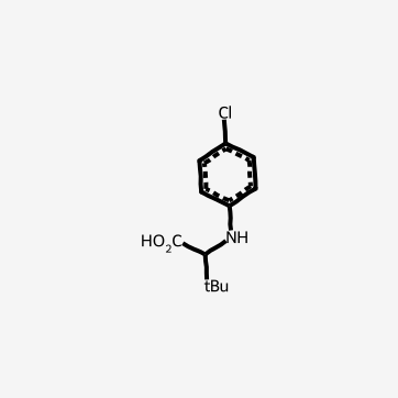 CC(C)(C)C(Nc1ccc(Cl)cc1)C(=O)O